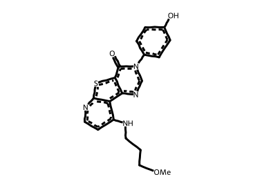 COCCCNc1ccnc2sc3c(=O)n(-c4ccc(O)cc4)cnc3c12